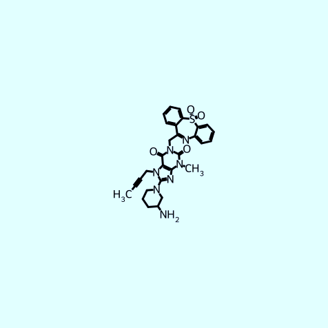 CC#CCn1c(N2CCCC(N)C2)nc2c1c(=O)n(CC1=Nc3ccccc3S(=O)(=O)c3ccccc31)c(=O)n2C